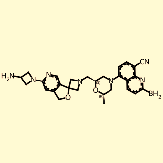 Bc1ccc2c(N3C[C@H](CN4CC5(C4)OCc4cc(N6CC(N)C6)ncc45)O[C@H](C)C3)ccc(C#N)c2n1